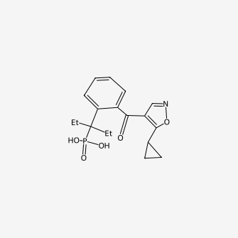 CCC(CC)(c1ccccc1C(=O)c1cnoc1C1CC1)P(=O)(O)O